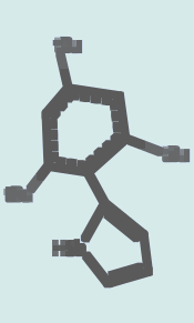 CC(C)(C)c1cc(C(C)(C)C)c([C]2=CC=[CH][SbH]2)c(C(C)(C)C)c1